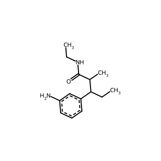 CCNC(=O)C(C)C(CC)c1cccc(N)c1